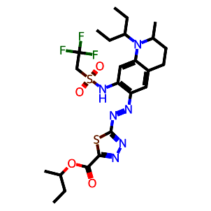 CCC(C)OC(=O)c1nnc(N=Nc2cc3c(cc2NS(=O)(=O)CC(F)(F)F)N(C(CC)CC)C(C)CC3)s1